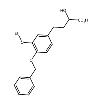 CCOc1cc(CCC(O)C(=O)O)ccc1OCc1ccccc1